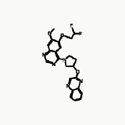 COc1cc2ncnc(N3CC[C@@H](Oc4cnc5ccccc5n4)C3)c2cc1OCC(F)F